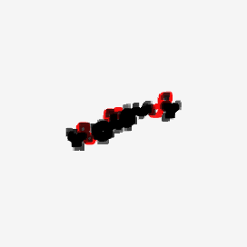 C=C(C)C(=O)OCCCc1ccc2cc(-c3ccc(OC(=O)C(=C)C)cc3)c(=O)oc2c1